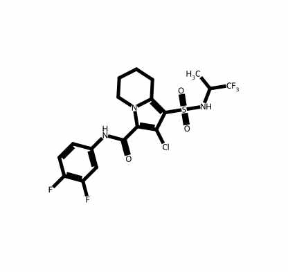 CC(NS(=O)(=O)c1c(Cl)c(C(=O)Nc2ccc(F)c(F)c2)n2c1CCCC2)C(F)(F)F